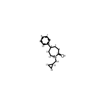 O=C1CCC(c2ccccc2)CCN1CC1CC1